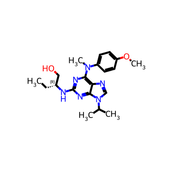 CC[C@H](CO)Nc1nc(N(C)c2ccc(OC)cc2)c2ncn(C(C)C)c2n1